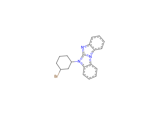 BrC1CCCC(n2c3ccccc3n3c4ccccc4nc23)C1